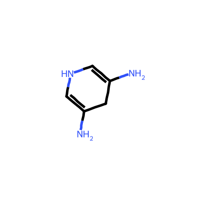 NC1=CNC=C(N)C1